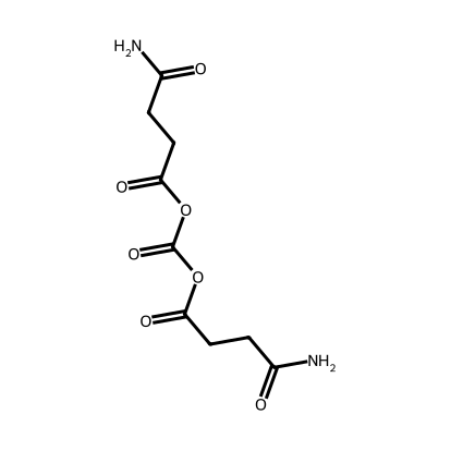 NC(=O)CCC(=O)OC(=O)OC(=O)CCC(N)=O